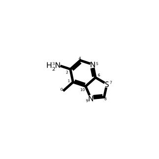 Cc1c(N)cnc2scnc12